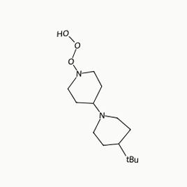 CC(C)(C)C1CCN(C2CCN(OOO)CC2)CC1